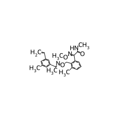 C=Cc1cc(C)cc(/C(C)=N/OCc2c(C)cccc2/C(=N\OC)C(=O)NC)c1